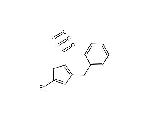 [C]=O.[C]=O.[C]=O.[Fe][C]1=CC(Cc2ccccc2)=CC1